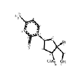 CC[C@]1(CO)O[C@H](n2ccc(N)nc2=O)C[C@@H]1OC